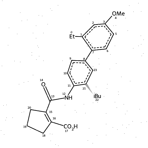 CCc1cc(OC)ccc1-c1ccc(NC(=O)C2=C(C(=O)O)CCC2)c([C@@H](C)CC)c1